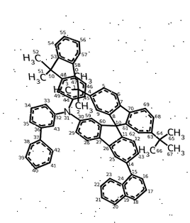 CC(C)(C)c1ccc2c(c1)C1(c3ccc(-c4cccc5ccccc45)cc3-c3ccc(N(c4cccc(-c5ccccc5)c4)c4ccc5c(c4)C(C)(C)c4ccccc4-5)cc31)c1cc(C(C)(C)C)ccc1-2